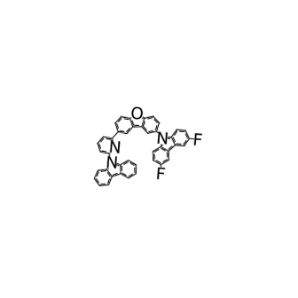 Fc1ccc2c(c1)c1cc(F)ccc1n2-c1ccc2oc3ccc(-c4cccc(-n5c6ccccc6c6ccccc65)n4)cc3c2c1